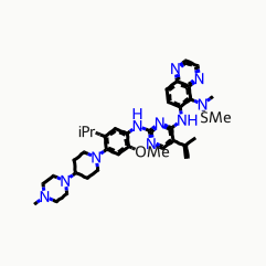 C=C(C)c1cnc(Nc2cc(C(C)C)c(N3CCC(N4CCN(C)CC4)CC3)cc2OC)nc1Nc1ccc2nccnc2c1N(C)SC